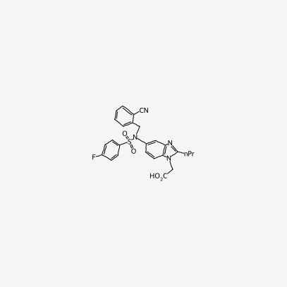 CCCc1nc2cc(N(Cc3ccccc3C#N)S(=O)(=O)c3ccc(F)cc3)ccc2n1CC(=O)O